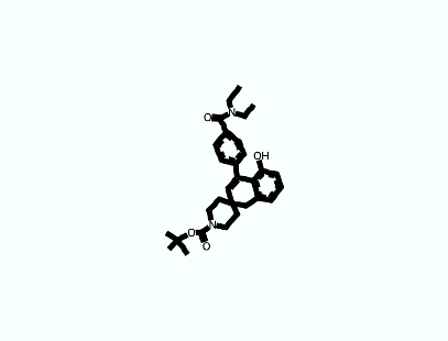 CCN(CC)C(=O)c1ccc(C2=CC3(CCN(C(=O)OC(C)(C)C)CC3)Cc3cccc(O)c32)cc1